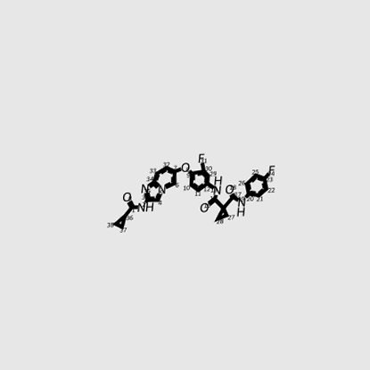 O=C(Nc1cn2cc(Oc3ccc(NC(=O)C4(C(=O)Nc5ccc(F)cc5)CC4)cc3F)ccc2n1)C1CC1